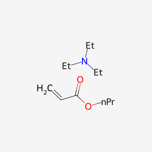 C=CC(=O)OCCC.CCN(CC)CC